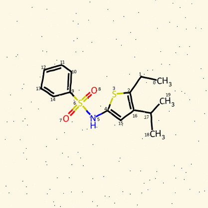 CCc1sc(NS(=O)(=O)c2ccccc2)cc1C(C)C